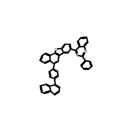 c1ccc(-c2nc(-c3ccc4oc5c6ccccc6c(-c6ccc(-c7cccc8ccccc78)cc6)cc5c4c3)c3ccccc3n2)cc1